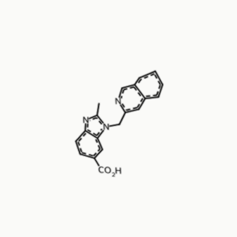 Cc1nc2ccc(C(=O)O)cc2n1Cc1cc2ccccc2cn1